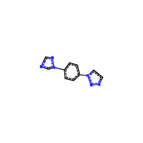 c1cn(-c2ccc(-n3cncn3)cc2)nn1